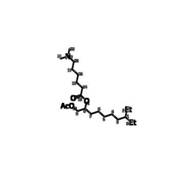 CCC(CC)CCCCCC(COC(C)=O)OC(=O)CCCCCN(C)C